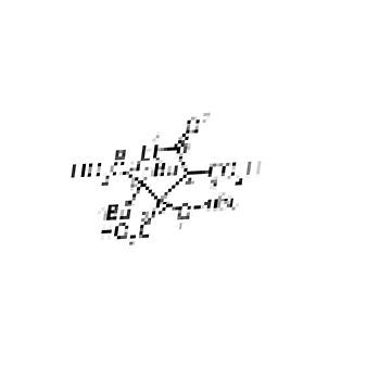 CCCCOC(C(=O)O)(C(C(=O)O)C(=O)CC)C(CCCC)(CCCC)C(=O)O